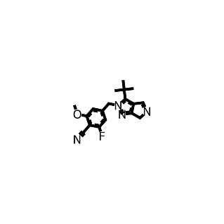 COc1cc(Cn2nc3c(c2C(C)(C)C)C=NC3)cc(F)c1C#N